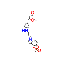 CCOC(CC=O)Cc1ccc(NCCCn2ccc3cc(OS(C)(=O)=O)ccc32)cc1